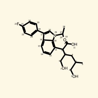 CC(CO)CC(CO)C(C(=O)O)c1cccc2c(-c3ccc(F)cc3)cn(C(C)C)c12